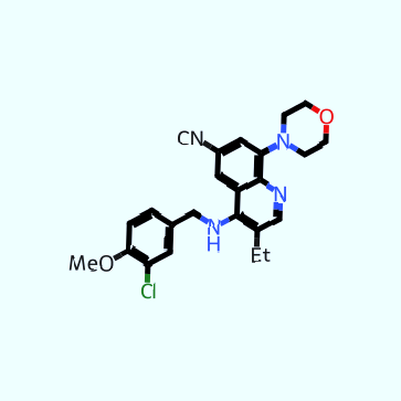 [C-]#[N+]c1cc(N2CCOCC2)c2ncc(CC)c(NCc3ccc(OC)c(Cl)c3)c2c1